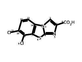 O=C(O)c1cn2c(n1)sc1c(Cl)c(Cl)ccc12